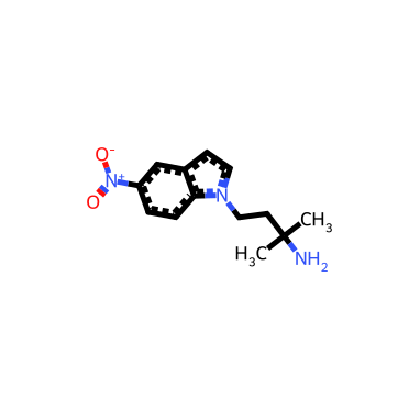 CC(C)(N)CCn1ccc2cc([N+](=O)[O-])ccc21